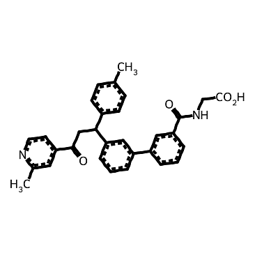 Cc1ccc(C(CC(=O)c2ccnc(C)c2)c2cccc(-c3cccc(C(=O)NCC(=O)O)c3)c2)cc1